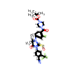 CC(C)(C)OC(=O)N1CCN(C(=O)c2ccc(N3C([S+]=O)N(c4ccc(C#N)c(C(F)(F)F)c4)C(=O)C3(C)C)cc2F)CC1